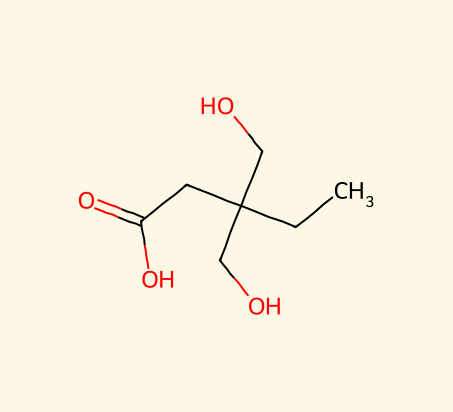 CCC(CO)(CO)CC(=O)O